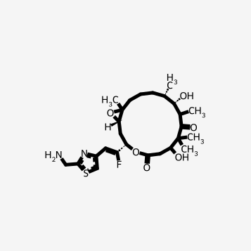 CC1C(=O)C(C)(C)C(O)CC(=O)O[C@H](C(F)=Cc2csc(CN)n2)C[C@@H]2OC2(C)CCC[C@H](C)[C@@H]1O